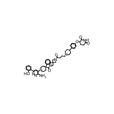 Nc1nnc(-c2ccccc2O)cc1N1CCC(C(=O)N2CC3(CN(C(=O)CCCN4CCC(c5ccc(OC6CCC(=O)NC6=O)cc5)CC4)C3)C2)(c2ccccc2)CC1